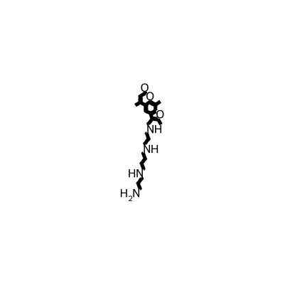 Cc1oc2c(C)c3oc(=O)cc(C)c3cc2c1CNCCCNCCCCNCCCN